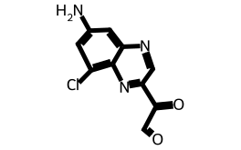 Nc1cc(Cl)c2nc(C(=O)C=O)cnc2c1